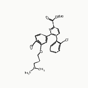 COC(=O)c1ccc(-c2ccccc2Cl)c(-c2ccc(Cl)c(OCCCN(C)C)c2)n1